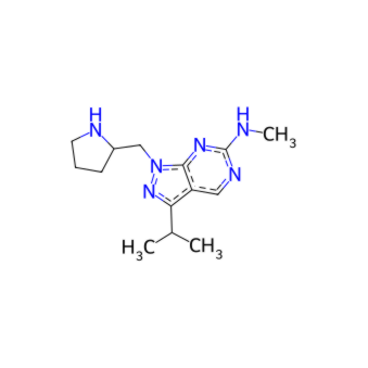 CNc1ncc2c(C(C)C)nn(CC3CCCN3)c2n1